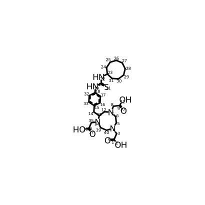 O=C(O)CN1CCN(CC(=O)O)CC(Cc2ccc(NC(=S)NC3CCCCCCCC3)cc2)N(CC(=O)O)CC1